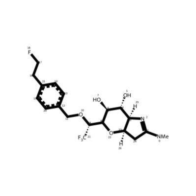 CNC1=N[C@@H]2[C@@H](O)[C@H](O)C([C@@H](OCc3ccc(CCF)cc3)C(F)(F)F)O[C@@H]2C1